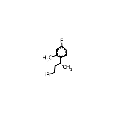 Cc1cc(F)ccc1[C@H](C)CCC(C)C